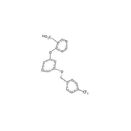 O=C(O)c1ccccc1Oc1cccc(OCc2ccc(C(F)(F)F)cc2)c1